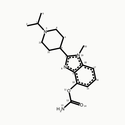 CC(C)N1CCC(c2nc3c(OC(N)=O)cccc3n2C)CC1